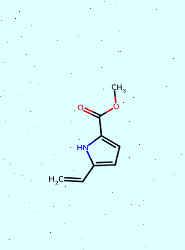 C=Cc1ccc(C(=O)OC)[nH]1